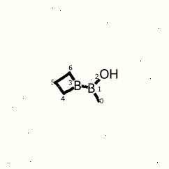 CB(O)B1CCC1